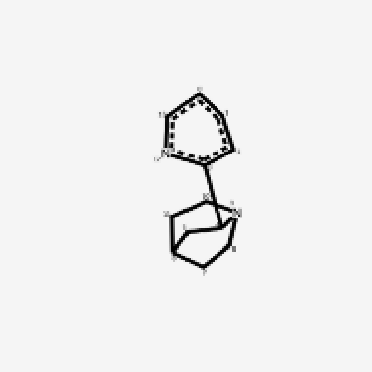 c1ccc(C2CC3CCN2CC3)nc1